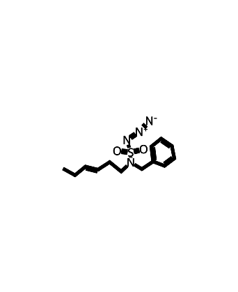 CC/C=C/CCN(Cc1ccccc1)S(=O)(=O)N=[N+]=[N-]